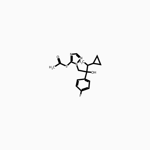 CC(=O)Sc1ncnn1CC(O)(c1ccc(F)cc1)C(C)C1CC1